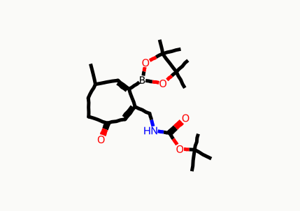 CC1/C=C(B2OC(C)(C)C(C)(C)O2)\C(CNC(=O)OC(C)(C)C)=C/C(=O)CC1